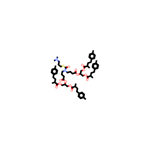 Cc1ccc(CCC(C)C(=O)OCC(COC(=O)C(C)CCc2ccc(C)cc2)OC(=O)CCCN(CCCC(=O)OC(COC(=O)C(C)CCc2ccc(C)cc2)COC(=O)C(C)CCc2ccc(C)cc2)C(=O)SCCCN(C)C)cc1